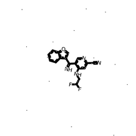 N#Cc1cc(NCC(F)F)c(C(=N)c2coc3ccccc23)cn1